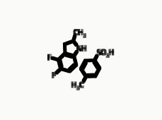 CC1Cc2c(ccc(F)c2F)N1.Cc1ccc(S(=O)(=O)O)cc1